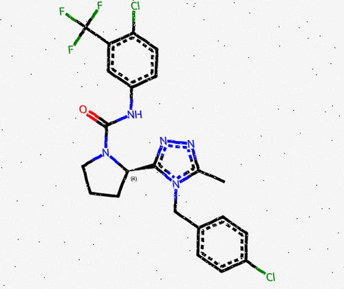 Cc1nnc([C@H]2CCCN2C(=O)Nc2ccc(Cl)c(C(F)(F)F)c2)n1Cc1ccc(Cl)cc1